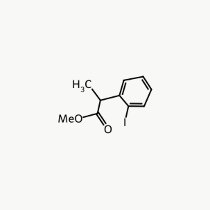 COC(=O)C(C)c1ccccc1I